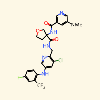 CNc1cncc(C(=O)NC2(C(=O)NCc3ncc(Nc4ccc(F)cc4C(F)(F)F)cc3Cl)CCOC2)c1